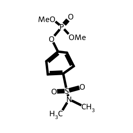 COP(=O)(OC)Oc1ccc(S(=O)(=O)N(C)C)cc1